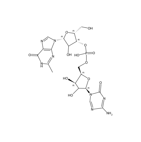 Cc1nc2c(ncn2[C@@H]2O[C@H](CO)[C@H](OP(=O)(O)OC[C@H]3O[C@@H](n4cnc(N)nc4=O)C(O)[C@H]3O)C2O)c(=O)[nH]1